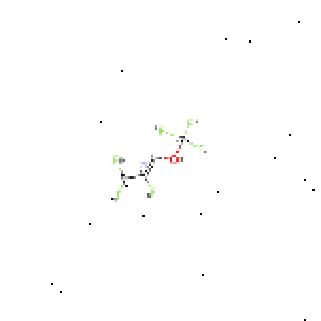 F/C(=C\OC(F)(F)F)C(F)F